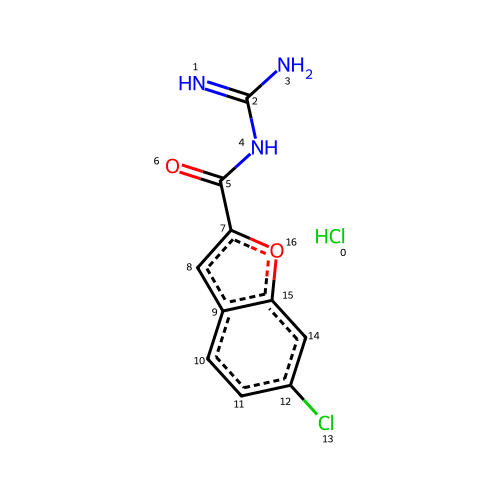 Cl.N=C(N)NC(=O)c1cc2ccc(Cl)cc2o1